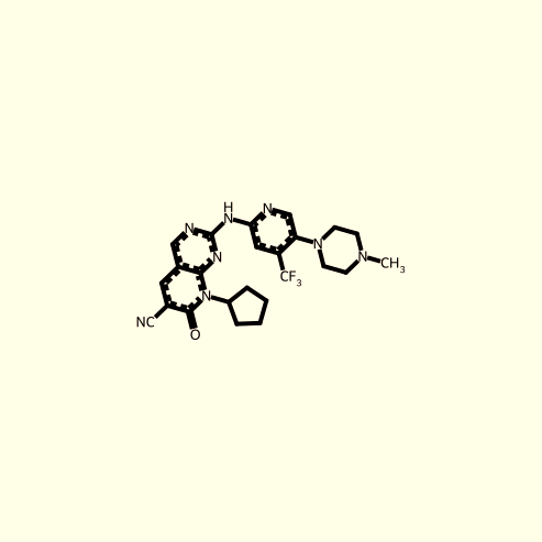 CN1CCN(c2cnc(Nc3ncc4cc(C#N)c(=O)n(C5CCCC5)c4n3)cc2C(F)(F)F)CC1